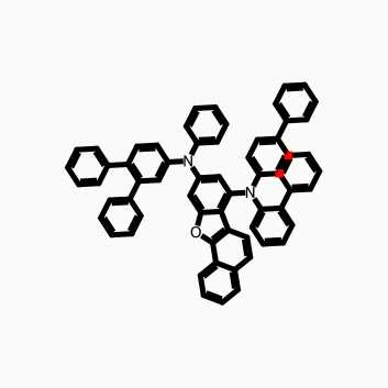 c1ccc(-c2ccc(N(c3ccccc3-c3ccccc3)c3cc(N(c4ccccc4)c4ccc(-c5ccccc5)c(-c5ccccc5)c4)cc4oc5c6ccccc6ccc5c34)cc2)cc1